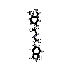 O=C(/C=C/C(=O)Oc1ccc2[nH]ncc2c1)Oc1ccc2[nH]ncc2c1